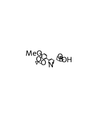 COc1ccc(-c2cncc([C@@H]3COB(O)C3)c2)c2c1OC1(CC1)CO2